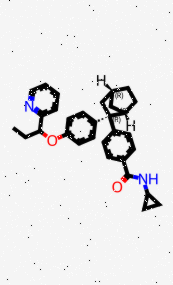 CCC(Oc1ccc([C@]2(c3ccc(C(=O)NC4CC4)cc3)C[C@@H]3CC[C@H]2C3)cc1)c1ccccn1